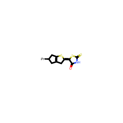 CC(C)C1CC2=C(C1)SC(=C1SC(=S)NC1=O)C2